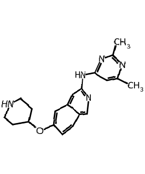 Cc1cc(Nc2cc3cc(OC4CCNCC4)ccc3cn2)nc(C)n1